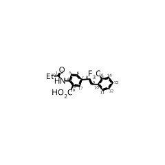 CCC(=O)Nc1ccc(C=Cc2ccccc2C(F)(F)F)cc1C(=O)O